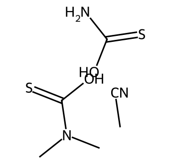 CC#N.CN(C)C(O)=S.NC(O)=S